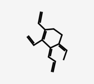 C=C/C=C1/C(C=C)=C(C=C)CC/C1=C/C